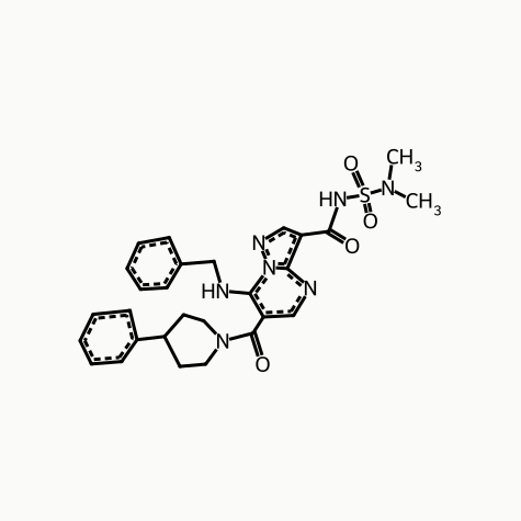 CN(C)S(=O)(=O)NC(=O)c1cnn2c(NCc3ccccc3)c(C(=O)N3CCC(c4ccccc4)CC3)cnc12